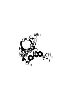 CN(C)c1ccc2c(O[C@@H]3C[C@H]4C(=O)N[C@]5(C(=O)NS(=O)(=O)C6CC6)C[C@H]5CCCOCCC[C@H](NC(=O)OC(C)(C)C)C(=O)N4C3)nc(-c3ccc(OC(F)(F)F)cc3)cc2c1